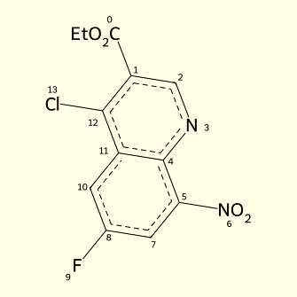 CCOC(=O)c1cnc2c([N+](=O)[O-])cc(F)cc2c1Cl